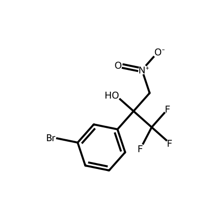 O=[N+]([O-])CC(O)(c1cccc(Br)c1)C(F)(F)F